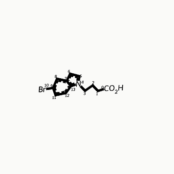 O=C(O)CCCn1ccc2cc(Br)ccc21